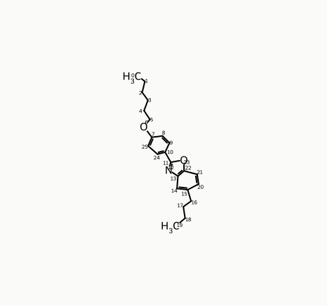 CCCCCCOc1ccc(-c2nc3cc(CCCC)ccc3o2)cc1